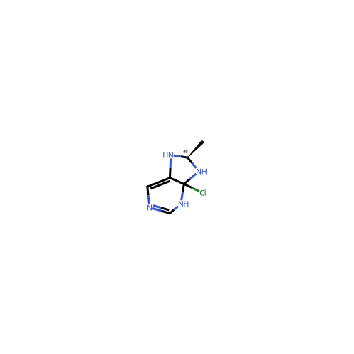 C[C@@H]1NC2=CN=CNC2(Cl)N1